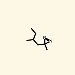 CCC(C)CC1(C)N=N1